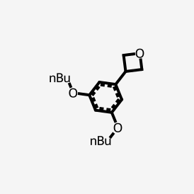 CCCCOc1cc(OCCCC)cc(C2COC2)c1